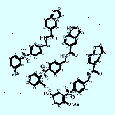 CC(C)c1cccc(S(=O)(=O)c2ccc(CNC(=O)c3ccc4nccn4c3)cc2)c1.CCc1ccccc1S(=O)(=O)c1ccc(CNC(=O)c2cnc3[nH]ncc3c2)cc1.COc1ccc(C(C)(C)C)cc1S(=O)(=O)c1ccc(CNC(=O)c2ccc3nccn3c2)cc1